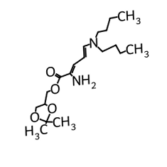 CCCCN(/C=C/C=C(\N)C(=O)OCC1COC(C)(C)O1)CCCC